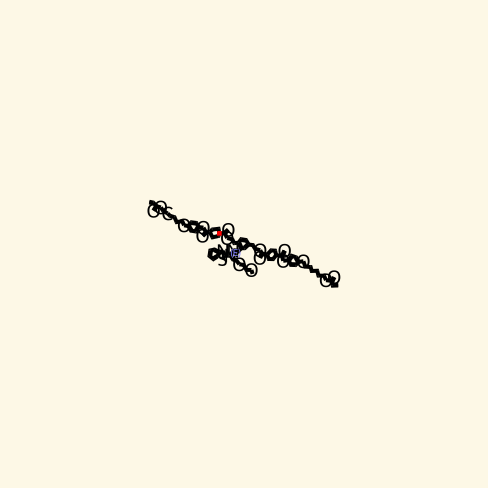 C=CC(=O)OCCCCCCOc1ccc(OC(=O)C2CCC(C(=O)OCCc3ccc(CCOC(=O)C4CCC(C(=O)Oc5ccc(OCCCCCCOC(=O)C=C)cc5)CC4)c(/C=N/N(CCOCCOC)c4nc5ccccc5s4)c3)CC2)cc1